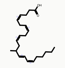 CCCCC/C=C\C=C\C(C)C/C=C\C/C=C\C/C=C\CCC(=O)O